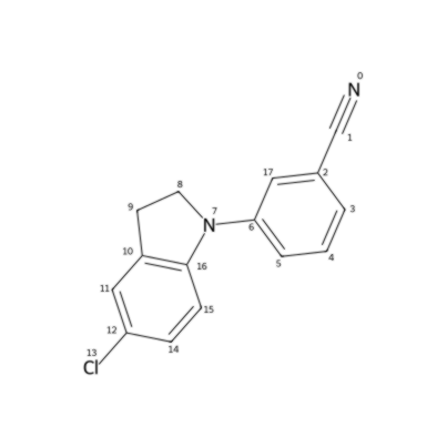 N#Cc1cccc(N2CCc3cc(Cl)ccc32)c1